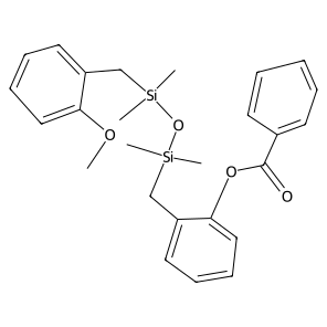 COc1ccccc1C[Si](C)(C)O[Si](C)(C)Cc1ccccc1OC(=O)c1ccccc1